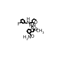 COc1cc2c(C(N)=O)cccc2n1-c1nc(NCc2cccc(F)c2)c2c(n1)OCCC2